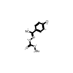 CC(C)(C)OC(=O)ON=C(C#N)c1ccc(Cl)cc1